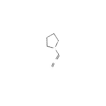 O=C=[C]N1CCCC1